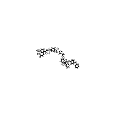 O=C(N[C@@H]1CCN(C(=O)COc2cccc([C@](O)(C(=O)OCC3CCN(Cc4ccccc4)CC3)c3ccccc3)c2)C1)c1ccc(CNC[C@H](O)c2ccc(O)c3[nH]c(=O)ccc23)cc1